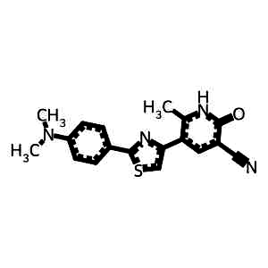 Cc1[nH]c(=O)c(C#N)cc1-c1csc(-c2ccc(N(C)C)cc2)n1